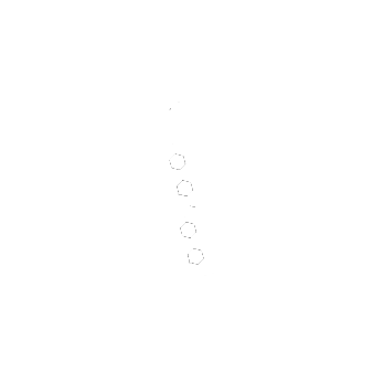 CCCOCC1COC(c2ccc(-c3cc(F)c(C(=O)Oc4ccc(-c5cc(F)c(OC(F)(F)F)c(F)c5)c(F)c4)c(F)c3)c(F)c2)OC1